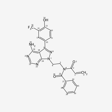 C=CC(=O)N(CCn1nc(-c2ccc(O)c(C(F)(F)F)c2)c2c(N)ncnc21)C(=O)c1ccccc1